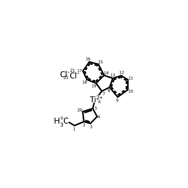 CCC1=CC[C]([Ti+2][CH]2c3ccccc3-c3ccccc32)=C1.[Cl-].[Cl-]